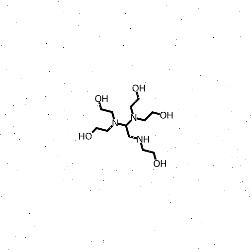 OCCNCC(N(CCO)CCO)N(CCO)CCO